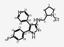 CCN1CCCC1CNc1n[nH]c(-c2ccc(F)cc2)c1-c1ccncc1